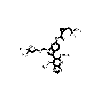 COc1nc2ncsc2c(OC)c1-c1cn(COCC[Si](C)(C)C)c2nc(NC(=O)C3CC3CN(C)C)ccc12